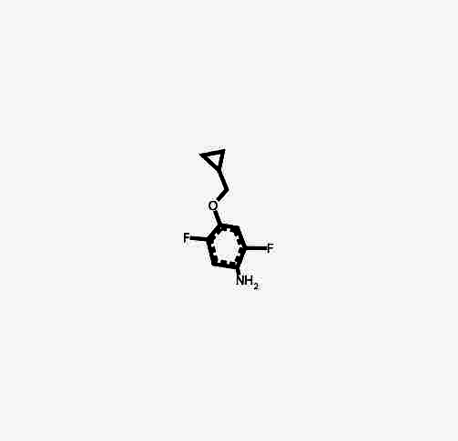 Nc1cc(F)c(OCC2CC2)cc1F